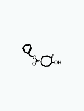 O=C(OCc1ccccc1)N1CCCC(O)C(F)CC1